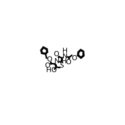 O=C(COc1ccccc1)N[C@@H]1C(=O)N2C(C(=O)OCc3ccccc3)=C(O)CS[C@H]12